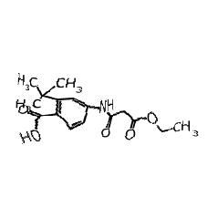 CCOC(=O)CC(=O)Nc1ccc(C(=O)O)c(C(C)(C)C)c1